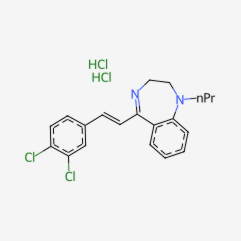 CCCN1CCN=C(C=Cc2ccc(Cl)c(Cl)c2)c2ccccc21.Cl.Cl